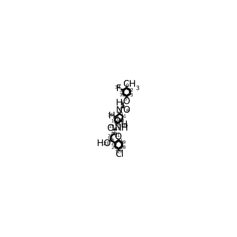 Cc1ccc(OCC(=O)N[C@@H]2C[C@@H]3O[C@H]2C[C@H]3NC(=O)[C@H]2C[C@@H](O)c3cc(Cl)ccc3O2)cc1F